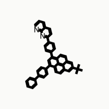 CC(C)(C)c1cc2ccc3c(-c4ccc(-c5ccccc5)cc4)cc(-c4ccc(-c5ccc6cccnc6n5)cc4)c4ccc(c1)c2c34